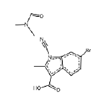 CN(C)C=O.Cc1c(C(=O)O)c2ccc(Br)cc2n1C#N